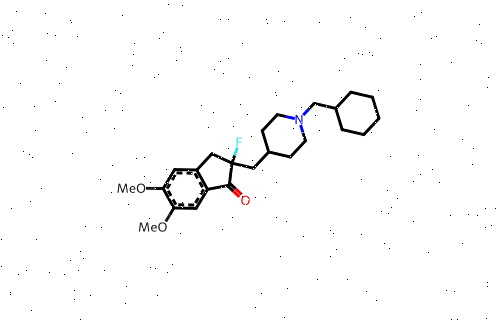 COc1cc2c(cc1OC)C(=O)C(F)(CC1CCN(CC3CCCCC3)CC1)C2